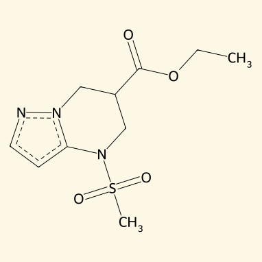 CCOC(=O)C1CN(S(C)(=O)=O)c2ccnn2C1